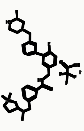 C[C@H]1CN(Cc2cccc(-c3cc(CNC(=O)c4cccc(CN(C)C5CC[N+](C)(C)C5)c4)ccc3F)c2)CCN1.O=C(O)C(F)(F)F.[I-]